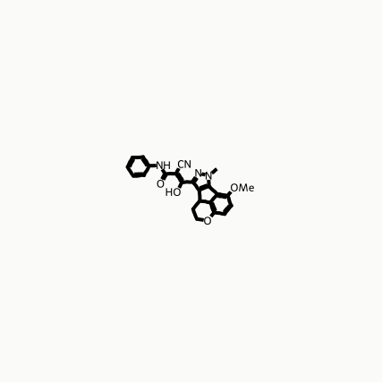 COc1ccc2c3c1-c1c(c(/C(O)=C(\C#N)C(=O)Nc4ccccc4)nn1C)C3CCO2